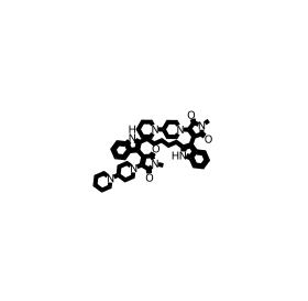 CN1C(=O)C(c2c(CCCCCc3[nH]c4ccccc4c3C3=C(N4CCC(N5CCCCC5)CC4)C(=O)N(C)C3=O)[nH]c3ccccc23)=C(N2CCC(N3CCCCC3)CC2)C1=O